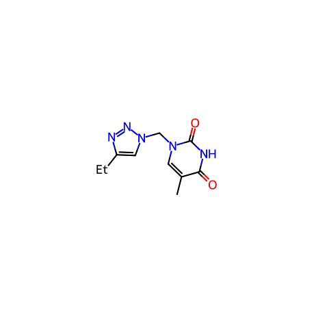 CCc1cn(Cn2cc(C)c(=O)[nH]c2=O)nn1